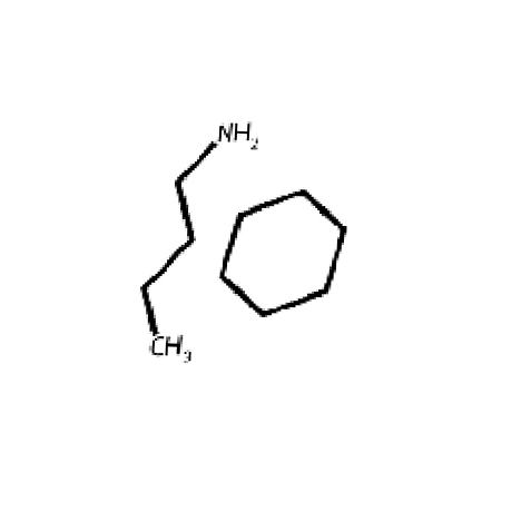 C1CCCCC1.CCCCN